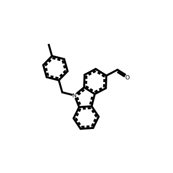 Cc1ccc(Cn2c3ccccc3c3cc(C=O)ccc32)cc1